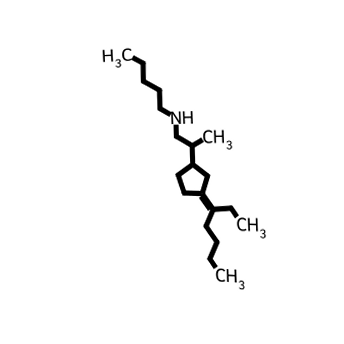 CCCCCNCC(C)C1CC/C(=C(/CC)CCCC)C1